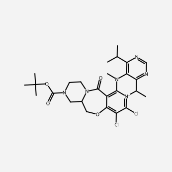 CC(C)c1ncnc2c1N(C)c1c3c(c(Cl)c(Cl)[n+]1C2C)OCC1CN(C(=O)OC(C)(C)C)CCN1C3=O